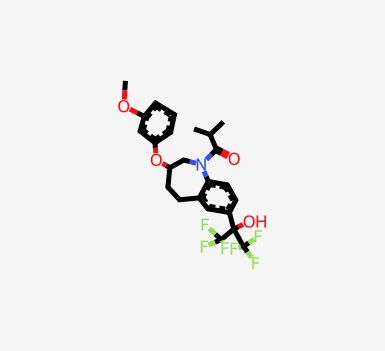 COc1cccc(OC2CCc3cc(C(O)(C(F)(F)F)C(F)(F)F)ccc3N(C(=O)C(C)C)C2)c1